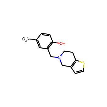 O=[N+]([O-])c1ccc(O)c(CN2CCc3sccc3C2)c1